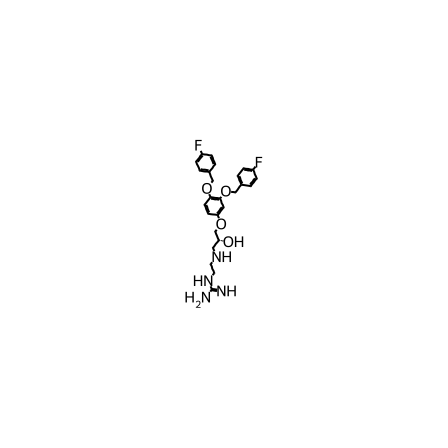 N=C(N)NCCNC[C@@H](O)COc1ccc(OCc2ccc(F)cc2)c(OCc2ccc(F)cc2)c1